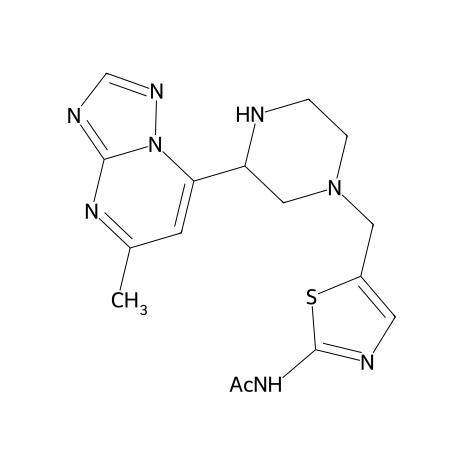 CC(=O)Nc1ncc(CN2CCNC(c3cc(C)nc4ncnn34)C2)s1